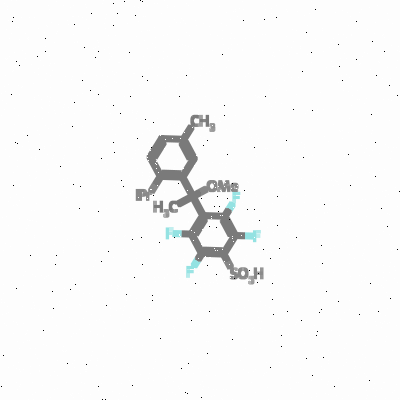 COC(C)(c1cc(C)ccc1C(C)C)c1c(F)c(F)c(S(=O)(=O)O)c(F)c1F